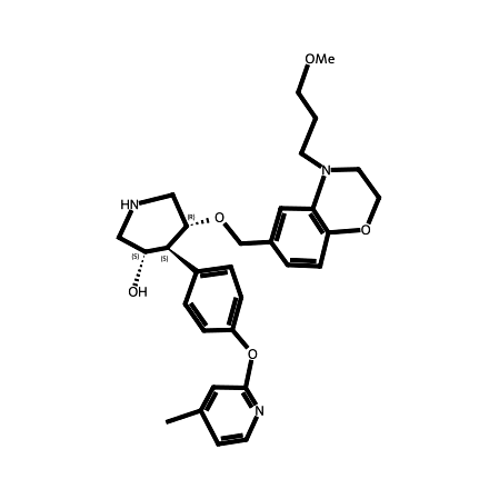 COCCCN1CCOc2ccc(CO[C@H]3CNC[C@@H](O)[C@@H]3c3ccc(Oc4cc(C)ccn4)cc3)cc21